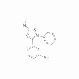 CN=c1nc(-c2cccc(C(C)=O)c2)n(-c2ccccc2)s1